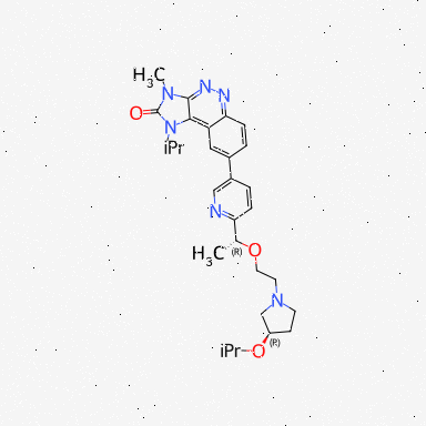 CC(C)O[C@@H]1CCN(CCO[C@H](C)c2ccc(-c3ccc4nnc5c(c4c3)n(C(C)C)c(=O)n5C)cn2)C1